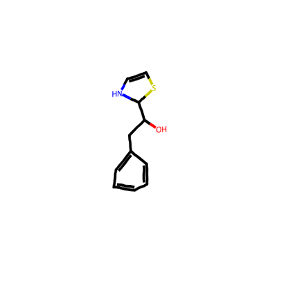 OC(Cc1ccccc1)C1NC=CS1